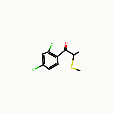 CSC(C)C(=O)c1ccc(Cl)cc1Cl